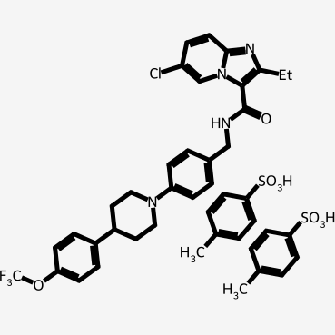 CCc1nc2ccc(Cl)cn2c1C(=O)NCc1ccc(N2CCC(c3ccc(OC(F)(F)F)cc3)CC2)cc1.Cc1ccc(S(=O)(=O)O)cc1.Cc1ccc(S(=O)(=O)O)cc1